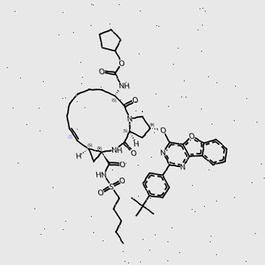 CCCCCS(=O)(=O)NC(=O)[C@@]12C[C@H]1/C=C\CCCCC[C@H](NC(=O)OC1CCCC1)C(=O)N1C[C@H](Oc3nc(-c4ccc(C(C)(C)C)cc4)nc4c3oc3ccccc34)C[C@H]1C(=O)N2